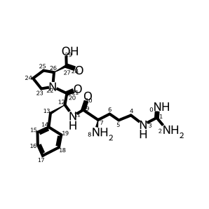 N=C(N)NCCC[C@@H](N)C(=O)N[C@@H](Cc1ccccc1)C(=O)N1CCC[C@H]1C(=O)O